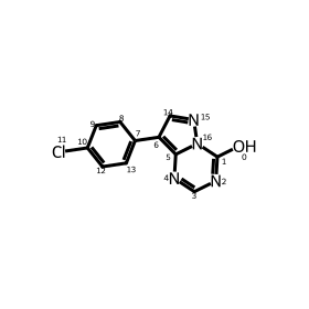 Oc1ncnc2c(-c3ccc(Cl)cc3)cnn12